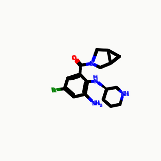 Nc1cc(Br)cc(C(=O)N2CC3CC3C2)c1N[C@@H]1CCCNC1